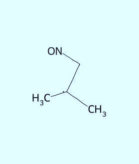 C[C](C)CN=O